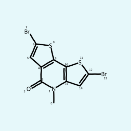 Cn1c(=O)c2cc(Br)sc2c2sc(Br)cc21